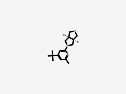 Cc1cc(C(C)(C)F)cc(N2C[C@H]3CNC[C@H]3C2)n1